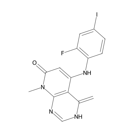 C=C1NC=Nc2c1c(Nc1ccc(I)cc1F)cc(=O)n2C